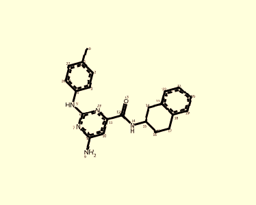 Cc1ccc(Nc2nc(N)cc(C(=O)NC3CCc4ccccc4C3)n2)cc1